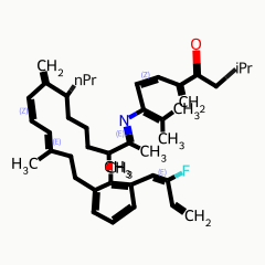 C=C/C(F)=C\c1cccc(CC/C(C)=C/C=C\C(=C)C(CCC)CCCC(C)/C(C)=N/C(/C=C\C(=C)C(=O)CC(C)C)=C(C)C)c1C